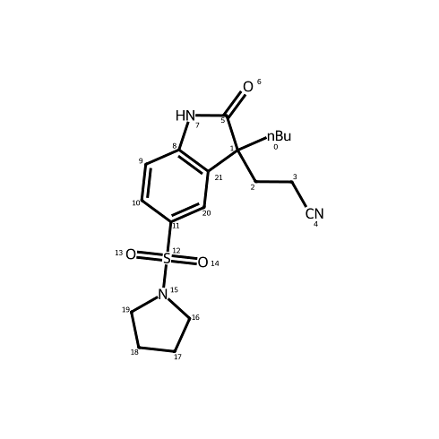 CCCCC1(CCC#N)C(=O)Nc2ccc(S(=O)(=O)N3CCCC3)cc21